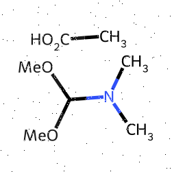 CC(=O)O.COC(OC)N(C)C